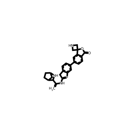 C=C(NC1=Pc2cc(-c3ccc4c(c3)C3(CNC3)OC4=O)ccc2C1)C1NC2CCC1C2